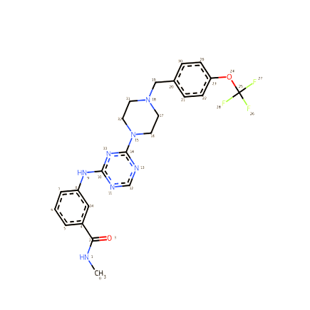 CNC(=O)c1cccc(Nc2ncnc(N3CCN(Cc4ccc(OC(F)(F)F)cc4)CC3)n2)c1